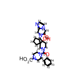 O=C(O)N1CCN(C(=O)N2CCC(O)(CN3Cc4nccn4CC3=O)C3(CCCC3)C2)[C@H](c2ccccc2)C1